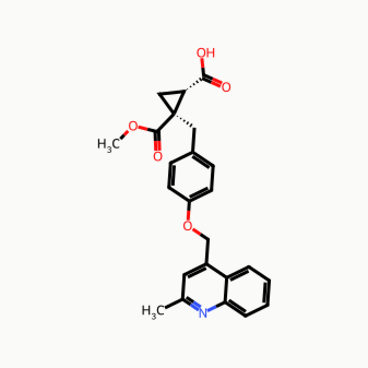 COC(=O)[C@@]1(Cc2ccc(OCc3cc(C)nc4ccccc34)cc2)C[C@@H]1C(=O)O